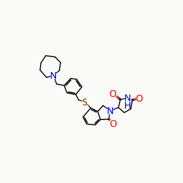 O=C1CCC(N2Cc3c(SCc4cccc(CN5CCCCCCC5)c4)cccc3C2=O)C(=O)N1